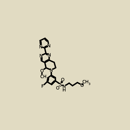 COCCCNS(=O)(=O)c1cc(F)cc(N2CCc3nc(-c4ncccn4)ncc3C2OC)c1